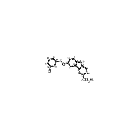 CCOC(=O)c1cc2c(cn1)[nH]c1ccc(OCc3cccc(Cl)c3)cc12